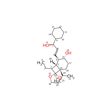 CCC1[C@@H]2[C@@H](/C=C/[C@@H](O)C3CCCCC3)[C@H](O)CC[C@]2(C(C)C)C12OCCO2